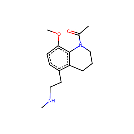 CNCCc1ccc(OC)c2c1CCCN2C(C)=O